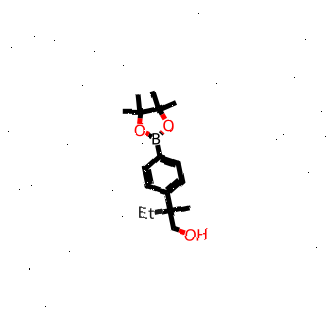 CCC(C)(CO)c1ccc(B2OC(C)(C)C(C)(C)O2)cc1